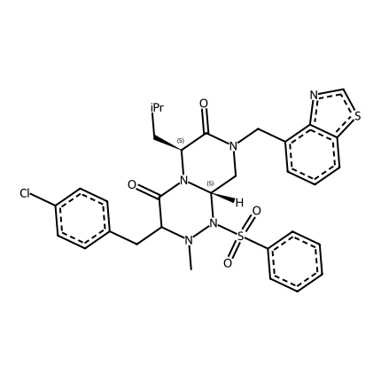 CC(C)C[C@H]1C(=O)N(Cc2cccc3scnc23)C[C@H]2N1C(=O)C(Cc1ccc(Cl)cc1)N(C)N2S(=O)(=O)c1ccccc1